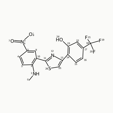 CNc1ccc([N+](=O)[O-])cc1-c1nc(-c2ccc(C(F)(F)F)cc2O)cs1